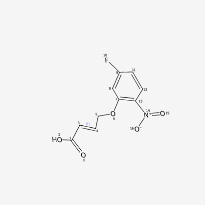 O=C(O)/C=C/COc1cc(F)ccc1[N+](=O)[O-]